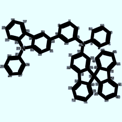 c1ccc(N(c2cccc(-c3ccc4c(c3)c3ccccc3n4-c3ccccc3)c2)c2ccc3c(c2)C2(c4ccccc4-c4ccccc42)c2ccccc2-3)cc1